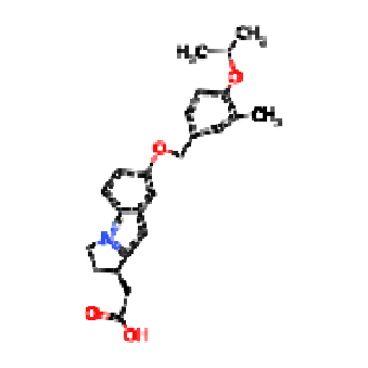 Cc1cc(COc2ccc3c(c2)cc2n3CC[C@@H]2CC(=O)O)ccc1OC(C)C